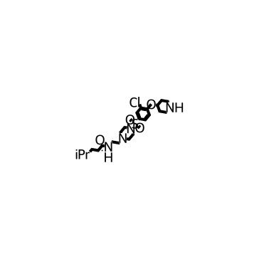 CC(C)C[CH]C(=O)NCCN1CCN(S(=O)(=O)c2ccc(OC3CCNCC3)c(Cl)c2)CC1